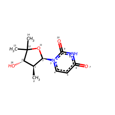 C[C@@H]1[C@H](n2ccc(=O)[nH]c2=O)OC(C)(C)[C@H]1O